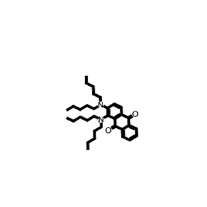 CCCCCN(CCCCC)c1ccc2c(c1N(CCCCC)CCCCC)C(=O)c1ccccc1C2=O